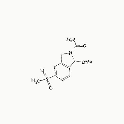 BC(=O)N1Cc2cc(S(C)(=O)=O)ccc2C1OC